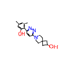 Cc1cc(C)c(-c2ccc(N3CCC4(CC3)CC(O)C4)nn2)c(O)c1